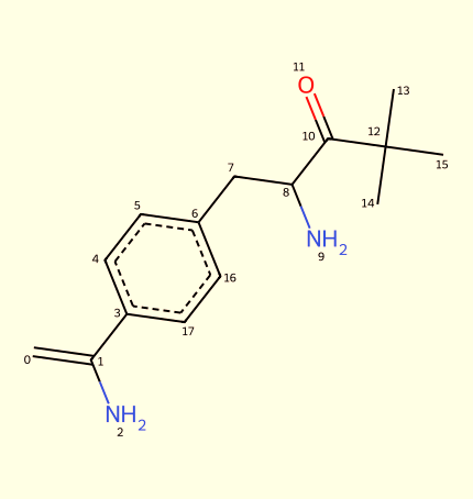 C=C(N)c1ccc(CC(N)C(=O)C(C)(C)C)cc1